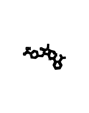 CC(C)c1ccccc1-c1ncc2c(n1)n(CC1CCN(C(=O)O)CC1)c(=O)n2C